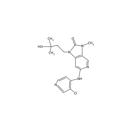 Cn1c(=O)n(CCC(C)(C)O)c2cc(Nc3ccncc3Cl)ncc21